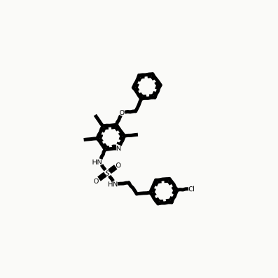 Cc1nc(NS(=O)(=O)NCCc2ccc(Cl)cc2)c(C)c(C)c1OCc1ccccc1